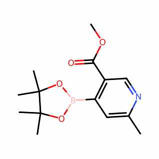 COC(=O)c1cnc(C)cc1B1OC(C)(C)C(C)(C)O1